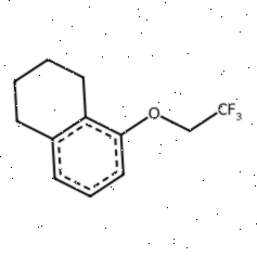 FC(F)(F)COc1cccc2c1CCCC2